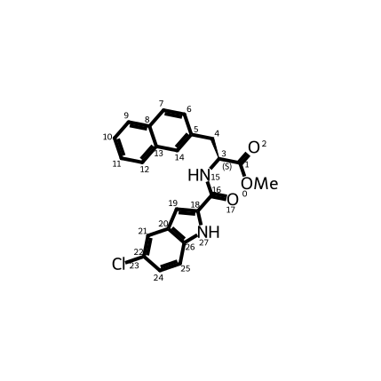 COC(=O)[C@H](Cc1ccc2ccccc2c1)NC(=O)c1cc2cc(Cl)ccc2[nH]1